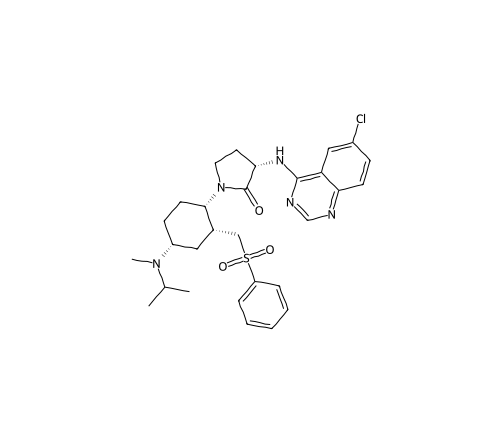 CC(C)N(C)[C@@H]1CC[C@H](N2CC[C@H](Nc3ncnc4ccc(Cl)cc34)C2=O)[C@H](CS(=O)(=O)c2ccccc2)C1